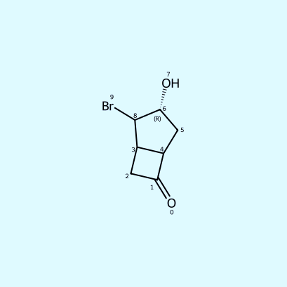 O=C1CC2C1C[C@@H](O)C2Br